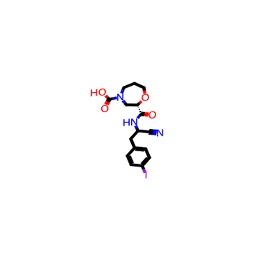 N#CC(Cc1ccc(I)cc1)NC(=O)[C@@H]1CN(C(=O)O)CCCO1